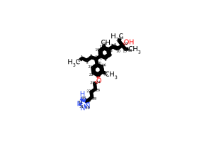 CCCCC(c1ccc(/C=C/C(O)(CC)CC)c(C)c1)c1ccc(OCCCCc2nnn[nH]2)c(C)c1